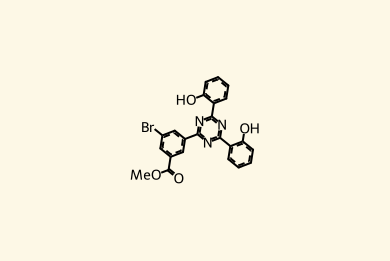 COC(=O)c1cc(Br)cc(-c2nc(-c3ccccc3O)nc(-c3ccccc3O)n2)c1